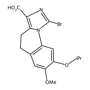 COc1cc2c(cc1OC(C)C)-n1c(Br)nc(C(=O)O)c1CC2